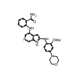 COc1cc(N2CCOCC2)ccc1Nc1cc2c(Nc3ccccc3C(N)=O)cncc2[nH]1